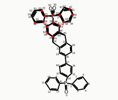 O=P(c1ccccc1)(c1ccccc1)c1ccc(-c2ccc3c(c2)C2c4ccc(P(=O)(c5ccccc5)c5ccccc5)cc4C3c3cc(P(=O)(c4ccccc4)c4ccccc4)ccc32)cc1